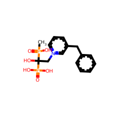 CP(=O)(O)C(O)(C[n+]1cccc(Cc2ccccc2)c1)P(=O)(O)O